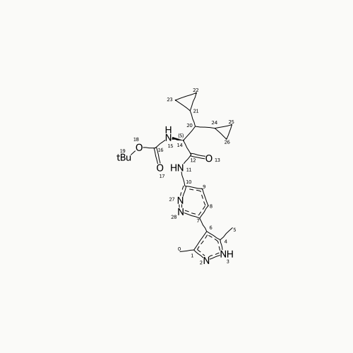 Cc1n[nH]c(C)c1-c1ccc(NC(=O)[C@@H](NC(=O)OC(C)(C)C)C(C2CC2)C2CC2)nn1